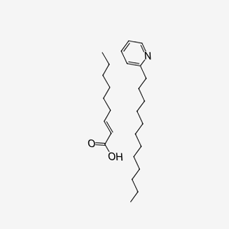 CCCCCCC=CC(=O)O.CCCCCCCCCCCCc1ccccn1